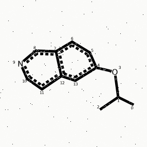 CC(C)Oc1ccc2[c]nccc2c1